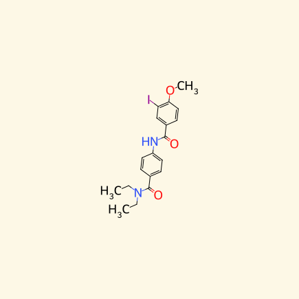 CCN(CC)C(=O)c1ccc(NC(=O)c2ccc(OC)c(I)c2)cc1